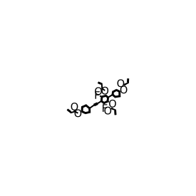 C=CC(=O)Oc1ccc(C#Cc2c(F)c(OC(=O)C=C)c(-c3ccc(OC(=O)C=C)cc3)c(OC(=O)C=C)c2F)cc1